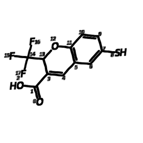 O=C(O)C1=Cc2cc(S)ccc2OC1C(F)(F)F